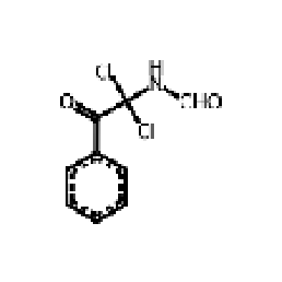 O=CNC(Cl)(Cl)C(=O)c1ccccc1